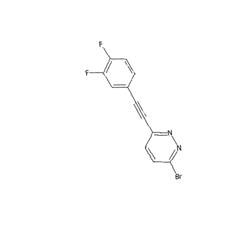 Fc1ccc(C#Cc2ccc(Br)nn2)cc1F